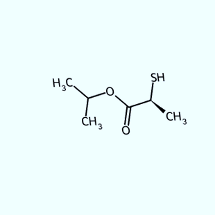 CC(C)OC(=O)[C@H](C)S